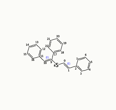 C(=C\c1ccccc1)/S/C(=C/c1ccccc1)c1ccccc1